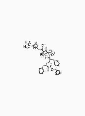 CC(C)c1nc(CN(C(=O)NC(C)(C)C(=O)N[C@H](CC[C@H](Cc2ccccc2)NC(=O)OCc2cncs2)Cc2ccccc2)C2CC2)cs1